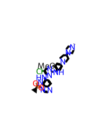 COc1cc(N2CCC(N3CCN(C)CC3)CC2)ccc1Nc1ncc(Cl)c(Nc2ccc3nccnc3c2N(C)S(=O)(=O)C2CC2)n1